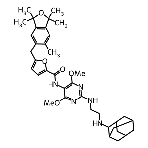 COc1nc(NCCNC2C3CC4CC(C3)CC2C4)nc(OC)c1NC(=O)c1ccc(Cc2cc3c(cc2C)C(C)(C)OC3(C)C)o1